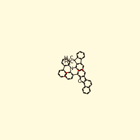 CC1(C)c2ccccc2-c2cccc(N(c3ccccc3-c3ccccc3)c3ccccc3-c3cccc4c3oc3c5ccccc5ccc43)c21